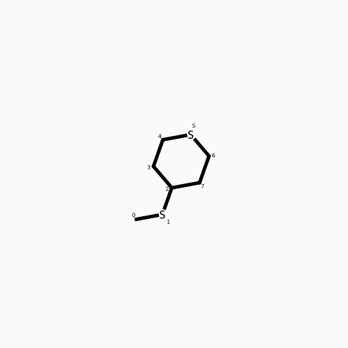 CSC1CCSCC1